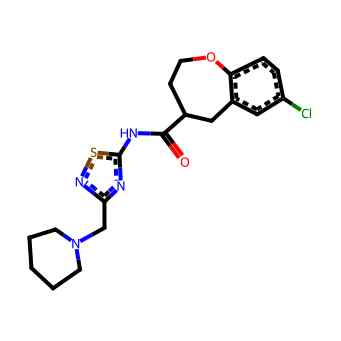 O=C(Nc1nc(CN2CCCCC2)ns1)C1CCOc2ccc(Cl)cc2C1